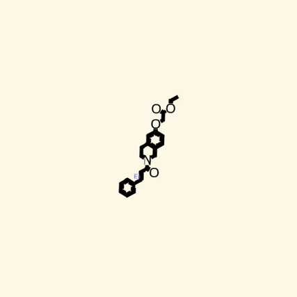 CCOC(=O)COc1ccc2c(c1)CCN(C(=O)/C=C/c1ccccc1)C2